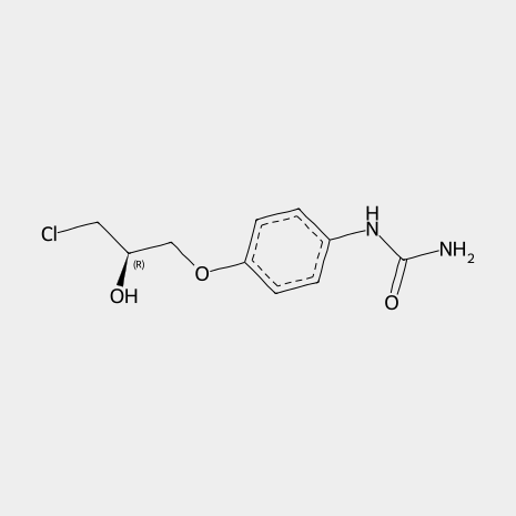 NC(=O)Nc1ccc(OC[C@@H](O)CCl)cc1